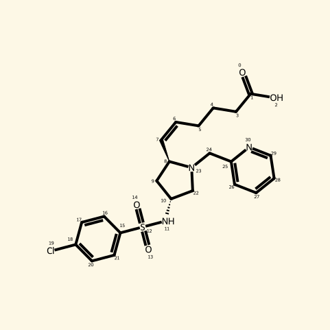 O=C(O)CCC/C=C\[C@@H]1C[C@@H](NS(=O)(=O)c2ccc(Cl)cc2)CN1Cc1ccccn1